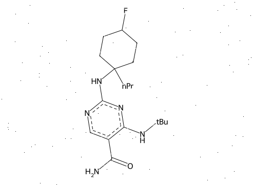 CCCC1(Nc2ncc(C(N)=O)c(NC(C)(C)C)n2)CCC(F)CC1